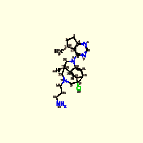 C[C@@H]1CCc2ncnc(N3C[C@@H]4CN(CCCN)CCC5C=C3C4=CC5Cl)c21